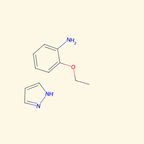 CCOc1ccccc1N.c1cn[nH]c1